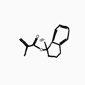 C=C(C)C(=O)OC1(CCC)CCCc2ccccc21